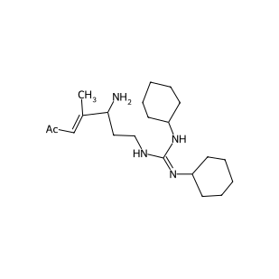 CC(=O)C=C(C)C(N)CCNC(=NC1CCCCC1)NC1CCCCC1